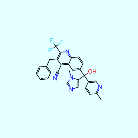 Cc1ccc(C(O)(c2ccc3nc(C(F)(F)F)c(Cc4ccccc4)c(C#N)c3c2)c2cncn2C)cn1